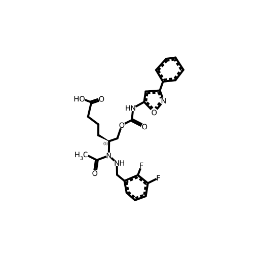 CC(=O)N(NCc1cccc(F)c1F)[C@@H](CCCC(=O)O)COC(=O)Nc1cc(-c2ccccc2)no1